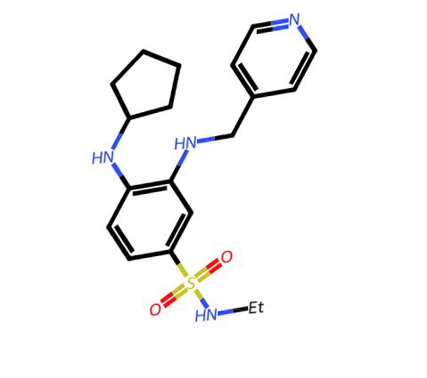 CCNS(=O)(=O)c1ccc(NC2CCCC2)c(NCc2ccncc2)c1